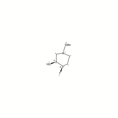 CSN1CC[C@@H](F)[C@@H](O)C1